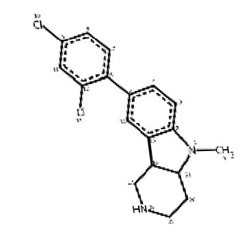 CN1c2ccc(-c3ccc(Cl)cc3Cl)cc2C2CNCCC21